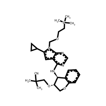 CC(C)(C#N)CO[C@H]1COc2ccccc2[C@@H]1Nc1ncnc2c1cc(C1CC1)n2COCC[Si](C)(C)C